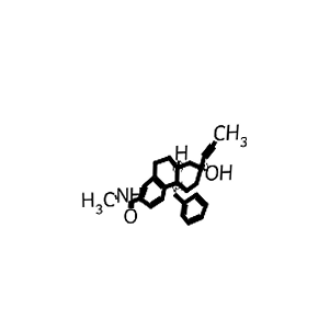 CC#C[C@@]1(O)CC[C@@]2(Cc3ccccc3)c3ccc(C(=O)NC)cc3CC[C@@H]2C1